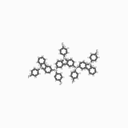 Fc1ccc(N(c2ccc3c(c2)c2ccccc2n3-c2ccc(F)cc2)c2ccc3c(c2)c2cc(N(c4ccc(F)cc4)c4ccc5c(c4)c4ccccc4n5-c4ccc(F)cc4)ccc2n3-c2ccc(F)cc2)cc1